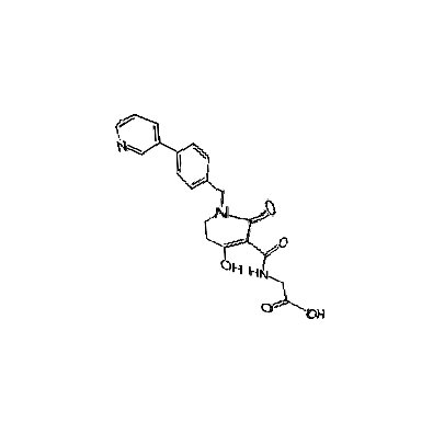 O=C(O)CNC(=O)C1=C(O)CCN(Cc2ccc(-c3cccnc3)cc2)C1=O